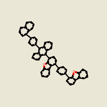 c1ccc2c(-c3ccc(-c4c5ccccc5c(-c5ccc(-c6ccc(-c7cccc8c7oc7ccccc78)cc6)c6c5oc5ccccc56)c5ccccc45)cc3)cccc2c1